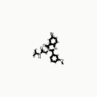 COc1cccc(-c2nc3ccc(Br)cc3c(=O)n2CC(=O)NC(C)C)c1